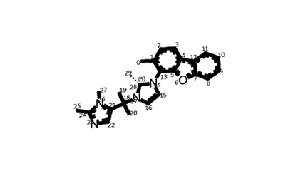 Cc1ccc2c(oc3ccccc32)c1N1C=CN(C(C)(C)c2cnc(C)n2C)[C@@H]1C